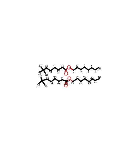 CCCCCCCCOC(=O)CCCCCC(C)(C)C.CCCCCCCCOC(=O)CCCCCC(C)(C)C